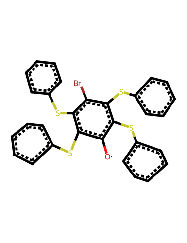 [O]c1c(Sc2ccccc2)c(Sc2ccccc2)c(Br)c(Sc2ccccc2)c1Sc1ccccc1